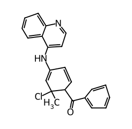 CC1(Cl)C=C(Nc2ccnc3ccccc23)C=CC1C(=O)c1ccccc1